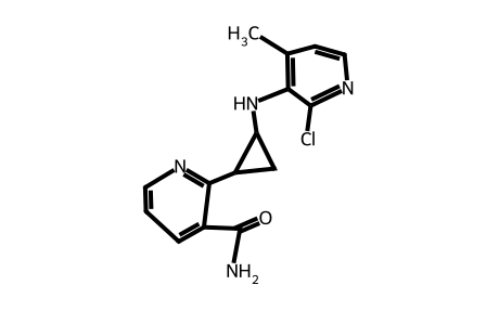 Cc1ccnc(Cl)c1NC1CC1c1ncccc1C(N)=O